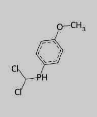 COc1ccc(PC(Cl)Cl)cc1